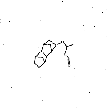 CC(OC=O)OC1CC2CC1C1C3CCC(C3)C21